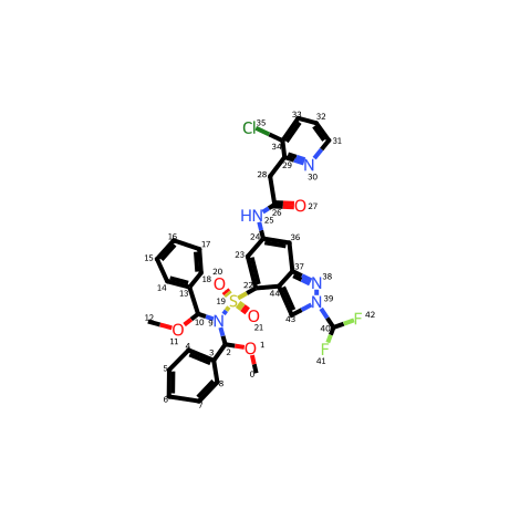 COC(c1ccccc1)N(C(OC)c1ccccc1)S(=O)(=O)c1cc(NC(=O)Cc2ncccc2Cl)cc2nn(C(F)F)cc12